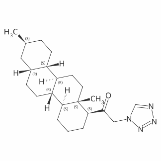 C[C@H]1CC[C@H]2[C@H](CC[C@@H]3[C@@H]2CC[C@]2(C)[C@@H](C(=O)Cn4cnnn4)CCC[C@@H]32)C1